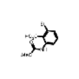 CCc1cccc(NC(=O)OC)c1C(=O)O